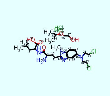 CC(C)CC(NC(=O)C(N)CCc1nc2cc(N(CCCl)CCCl)ccc2n1C)C(=O)O.CC(C)OCCO.Cl.Cl